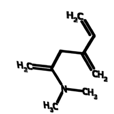 C=CC(=C)CC(=C)N(C)C